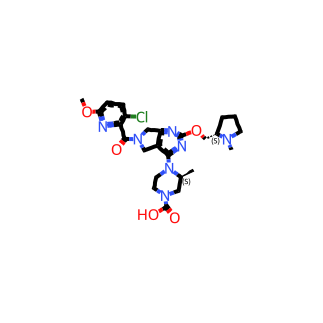 COc1ccc(Cl)c(C(=O)N2Cc3nc(OC[C@@H]4CCCN4C)nc(N4CCN(C(=O)O)C[C@@H]4C)c3C2)n1